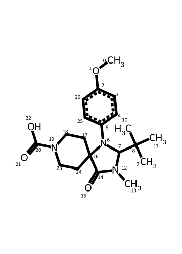 COc1ccc(N2C(C(C)(C)C)N(C)C(=O)C23CCN(C(=O)O)CC3)cc1